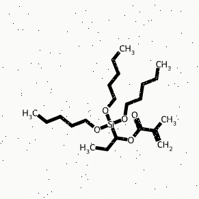 C=C(C)C(=O)OC(CC)[Si](OCCCCC)(OCCCCC)OCCCCC